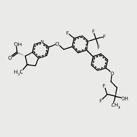 CC1Cc2cc(OCc3cc(-c4ccc(OCCC(C)(O)C(F)F)cc4)c(C(F)(F)F)cc3F)ncc2[C@H]1C(=O)O